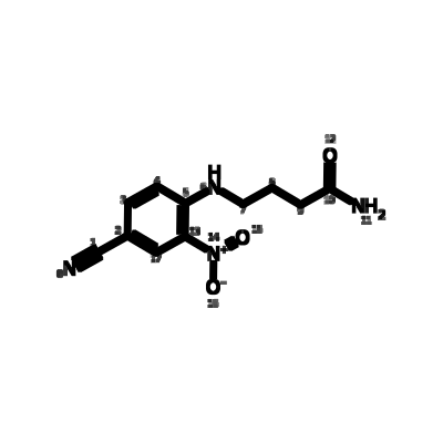 N#Cc1ccc(NCCCC(N)=O)c([N+](=O)[O-])c1